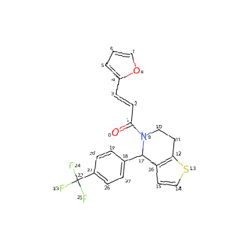 O=C(C=Cc1ccco1)N1CCc2sccc2C1c1ccc(C(F)(F)F)cc1